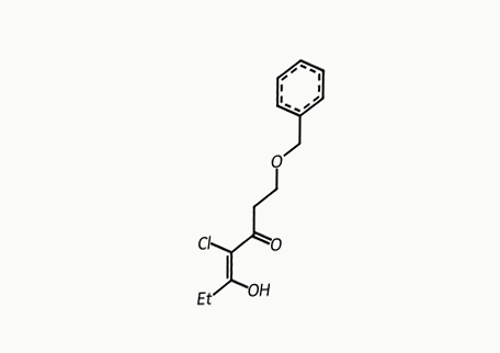 CCC(O)=C(Cl)C(=O)CCOCc1ccccc1